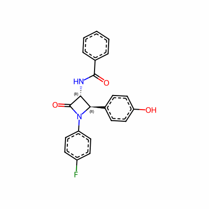 O=C(N[C@H]1C(=O)N(c2ccc(F)cc2)[C@@H]1c1ccc(O)cc1)c1ccccc1